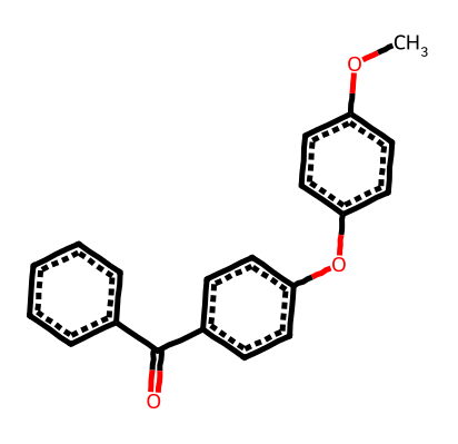 COc1ccc(Oc2ccc(C(=O)c3ccccc3)cc2)cc1